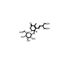 CC1=C(/C=C/C(CO)CO)[C@](C)(C[C@@H]2O[C@H](CO)[C@@H](O)[C@H](O)[C@H]2O)CCC1=O